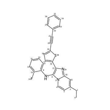 CCc1ccn2c(Nc3ccccc3F)c(-c3ccc(C#Cc4ccccc4)s3)nc2c1